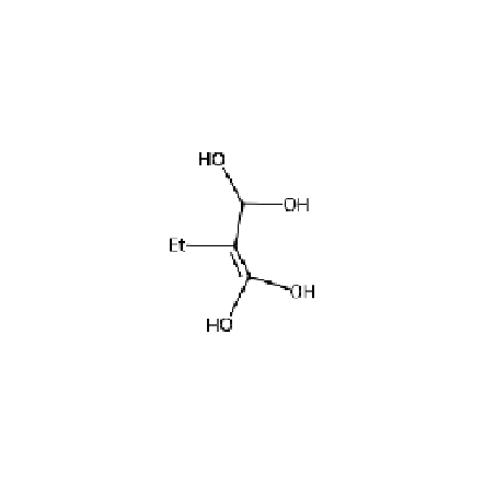 CCC(=C(O)O)C(O)O